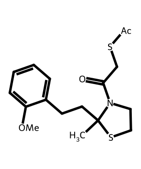 COc1ccccc1CCC1(C)SCCN1C(=O)CSC(C)=O